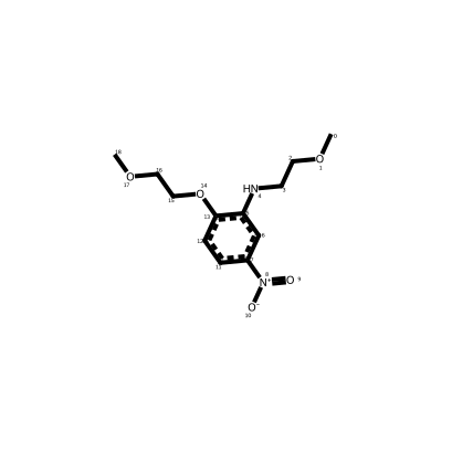 COCCNc1cc([N+](=O)[O-])ccc1OCCOC